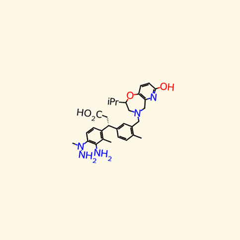 Cc1ccc([C@@H](CC(=O)O)c2ccc(N(C)N)c(N)c2C)cc1CN1Cc2nc(O)ccc2OC(C(C)C)C1